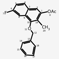 CC(=O)Oc1cc2ccc(F)cc2c(OCc2ccccc2)c1C